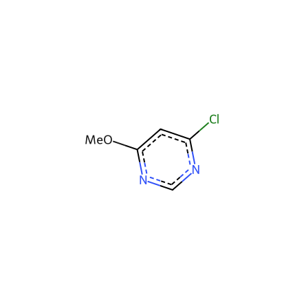 [CH2]Oc1cc(Cl)ncn1